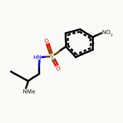 CNC(C)CNS(=O)(=O)c1ccc([N+](=O)[O-])cc1